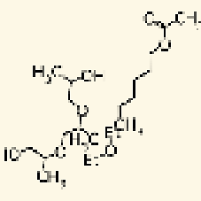 CC(O)COC(C)COC(C)CO.CCCCCCOC(C)=O.CCOCC